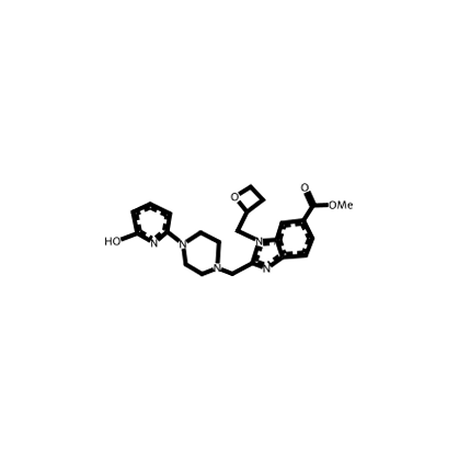 COC(=O)c1ccc2nc(CN3CCN(c4cccc(O)n4)CC3)n(CC3CCO3)c2c1